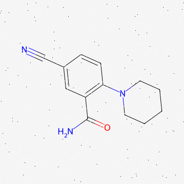 N#Cc1ccc(N2CCCCC2)c(C(N)=O)c1